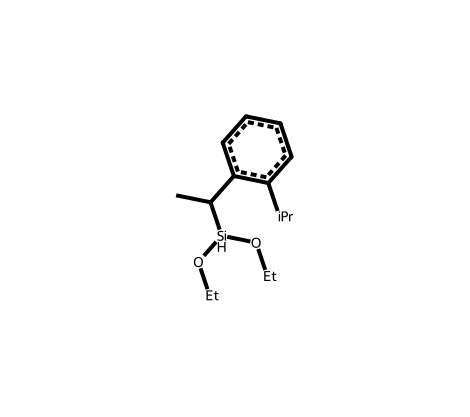 CCO[SiH](OCC)C(C)c1ccccc1C(C)C